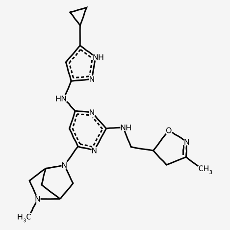 CC1=NOC(CNc2nc(Nc3cc(C4CC4)[nH]n3)cc(N3CC4CC3CN4C)n2)C1